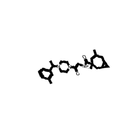 Cc1cccc(C(C)N2CCN(C(=O)CNC(=O)C3(C)CC(C)CC4CC4C3)CC2)c1